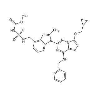 Cc1cc2c(CNS(=O)(=O)NC(=O)OC(C)(C)C)cccc2n1-c1nc(NCc2ccccc2)c2ccc(OCC3CC3)n2n1